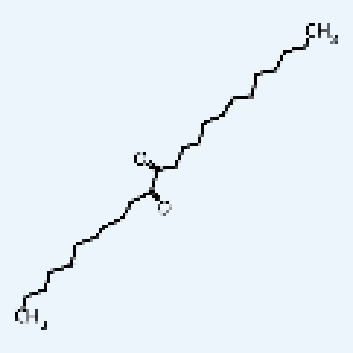 CCCCCCCCCCCCC(=O)C(=O)CCCCCCCCCC